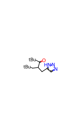 CC(C)(C)CC(Cc1cnn[nH]1)C(=O)C(C)(C)C